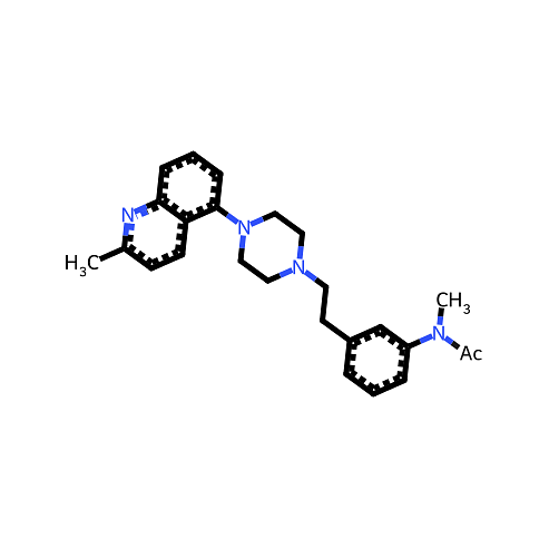 CC(=O)N(C)c1cccc(CCN2CCN(c3cccc4nc(C)ccc34)CC2)c1